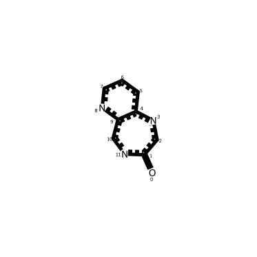 O=c1cnc2cccnc2cn1